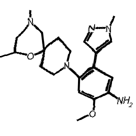 COc1cc(N2CCC3(CC2)CN(C)CC(C)O3)c(-c2cnn(C)c2)cc1N